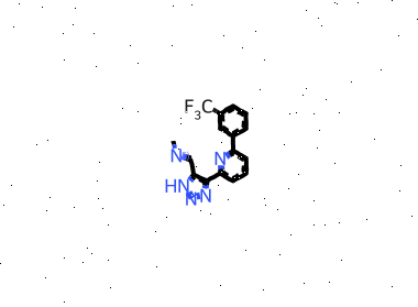 C/N=C/c1[nH]nnc1-c1cccc(-c2cccc(C(F)(F)F)c2)n1